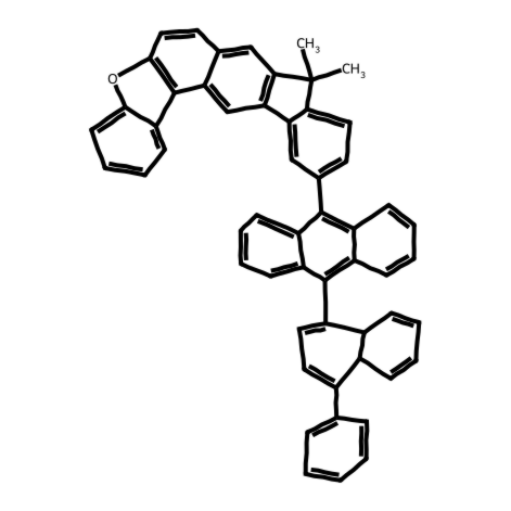 CC1(C)c2ccc(-c3c4ccccc4c(C4=CC=C(c5ccccc5)C5C=CC=CC45)c4ccccc34)cc2-c2cc3c(ccc4oc5ccccc5c43)cc21